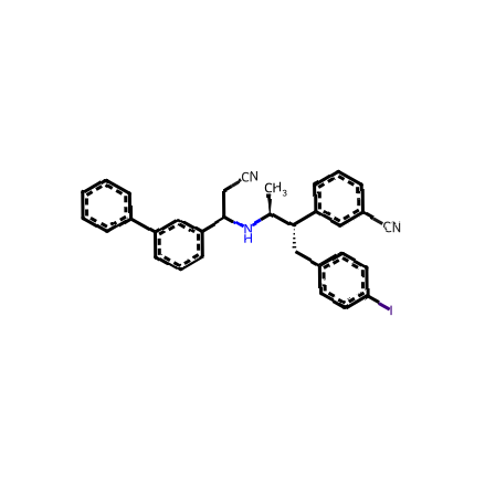 C[C@H](NC(CC#N)c1cccc(-c2ccccc2)c1)[C@@H](Cc1ccc(I)cc1)c1cccc(C#N)c1